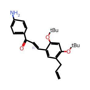 C=CCc1cc(/C=C/C(=O)c2ccc(N)cc2)c(OC(C)(C)C)cc1OC(C)(C)C